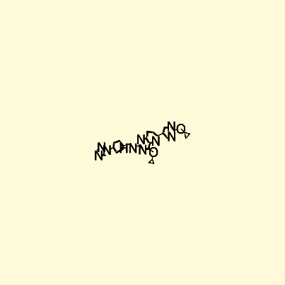 c1ncn(-c2ccc(CNc3nc(OC4CC4)c4nc(-c5cnc(OC6CC6)nc5)ccc4n3)cc2)n1